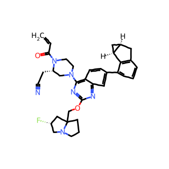 C=CC(=O)N1CCN(c2nc(OCC34CCCN3C[C@H](F)C4)nc3cc(-c4cccc5c4[C@H]4C[C@H]4C5)ccc23)C[C@@H]1CC#N